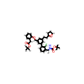 C[C@@H](NC(=O)OC(C)(C)C)c1cccc(-c2cc(CCC3CCCO3)cc(COc3ccccc3CC(=O)OC(C)(C)C)c2)c1F